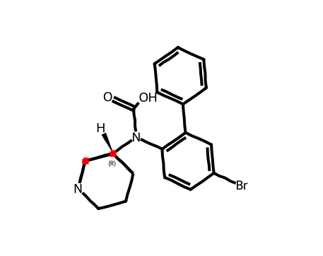 O=C(O)N(c1ccc(Br)cc1-c1ccccc1)[C@H]1CN2CCC1CC2